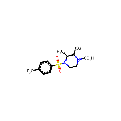 C[C@H]1C(C(C)(C)C)N(C(=O)O)CCN1S(=O)(=O)c1ccc(C(F)(F)F)cc1